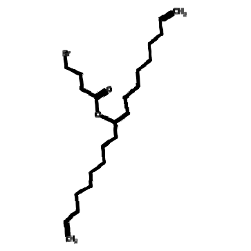 C=CCCCCCCCC(CCCCCCCC=C)OC(=O)CCCBr